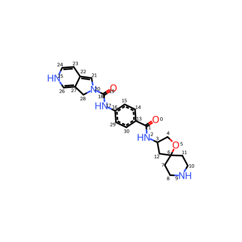 O=C(NC1COC2(CCNCC2)C1)c1ccc(NC(=O)N2C=C3C=CNC=C3C2)cc1